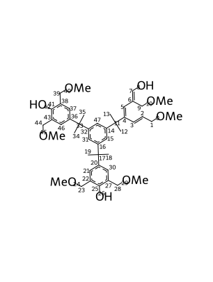 COC/C=C/C(=C\C(=C\O)COC)C(C)(C)c1cc(C(C)(C)c2cc(COC)c(O)c(COC)c2)cc(C(C)(C)c2cc(COC)c(O)c(COC)c2)c1